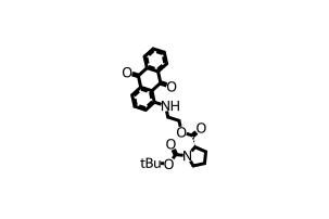 CC(C)(C)OC(=O)N1CCC[C@H]1C(=O)OCCNc1cccc2c1C(=O)c1ccccc1C2=O